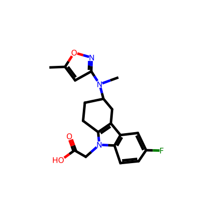 Cc1cc(N(C)C2CCc3c(c4cc(F)ccc4n3CC(=O)O)C2)no1